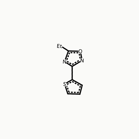 [CH2]Cc1nc(-c2cccs2)no1